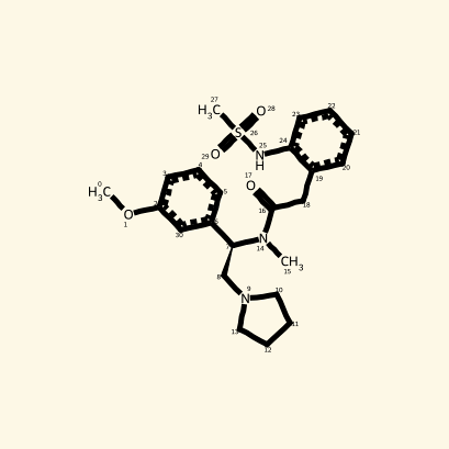 COc1cccc([C@H](CN2CCCC2)N(C)C(=O)Cc2ccccc2NS(C)(=O)=O)c1